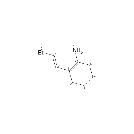 CCC=CC1=C(N)CCCC1